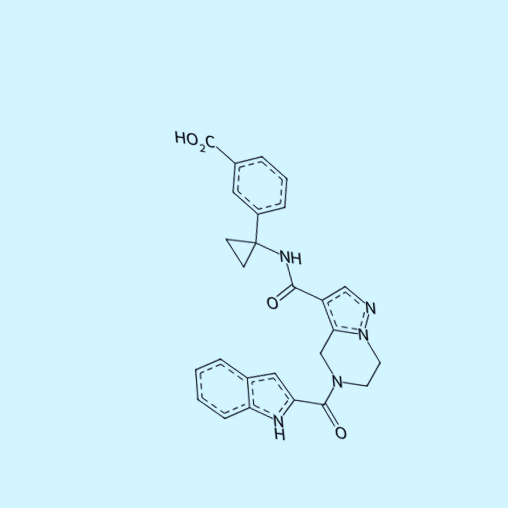 O=C(O)c1cccc(C2(NC(=O)c3cnn4c3CN(C(=O)c3cc5ccccc5[nH]3)CC4)CC2)c1